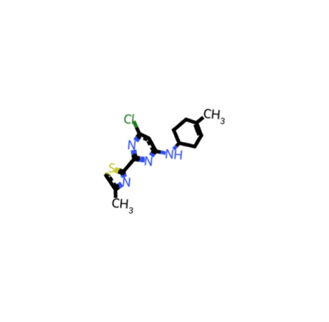 CC1=CCC(Nc2cc(Cl)nc(-c3nc(C)cs3)n2)CC1